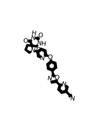 N#Cc1ccc(-c2cnc(-c3ccc(Oc4ccc(N5CCCC56C(=O)NC(=O)NC6=O)cn4)cc3)o2)nc1